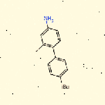 CCC(C)c1ccc(-c2ccc(N)cc2C)cc1